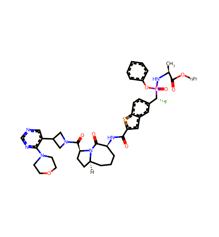 CCCOC(=O)[C@H](C)NP(=O)(Oc1ccccc1)[C@H](F)c1ccc2sc(C(=O)N[C@H]3CCC[C@H]4CC[C@@H](C(=O)N5CC(c6cncnc6N6CCOCC6)C5)N4C3=O)cc2c1